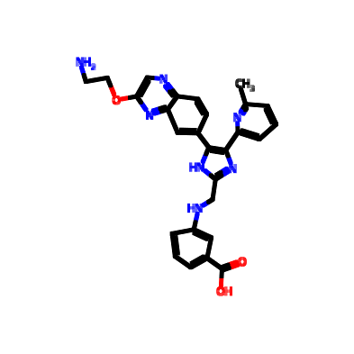 Cc1cccc(-c2nc(CNc3cccc(C(=O)O)c3)[nH]c2-c2ccc3ncc(OCCN)nc3c2)n1